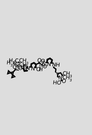 CC1(C)C[C@H](CCCNc2cccc(S(=O)(=O)NC(=O)c3ccc(-n4ccc(OC[C@H](O[Si](C)(C)C(C)(C)C)C5C6(CC6)C56CC6)n4)nc3Cl)n2)CN1C(=O)O